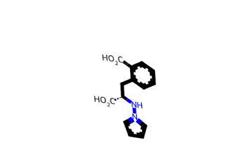 O=C(O)c1ccccc1C[C@H](Nn1cccc1)C(=O)O